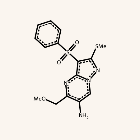 COCc1nc2c(S(=O)(=O)c3ccccc3)c(SC)nn2cc1N